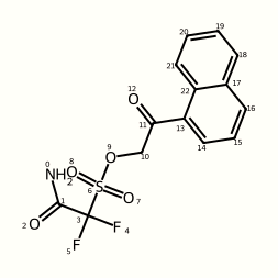 NC(=O)C(F)(F)S(=O)(=O)OCC(=O)c1cccc2ccccc12